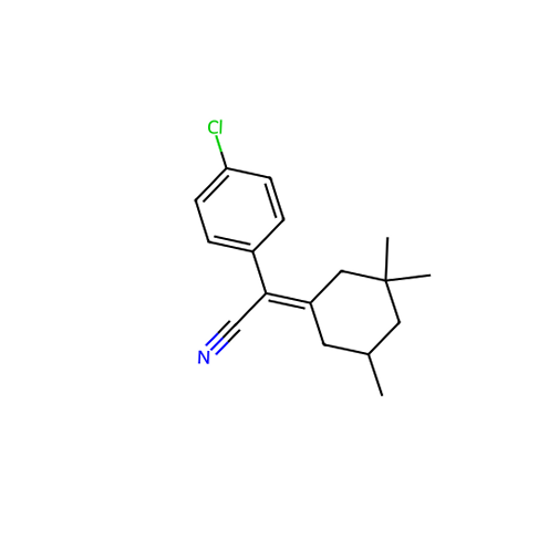 CC1CC(=C(C#N)c2ccc(Cl)cc2)CC(C)(C)C1